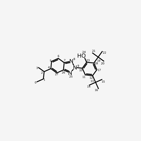 CCC(C)c1ccc2nn(-c3cc(C(C)(C)C)cc(C(C)(C)C)c3O)nc2c1